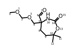 COCOCC1(C=O)CCC(C)(C)OC(=O)N1